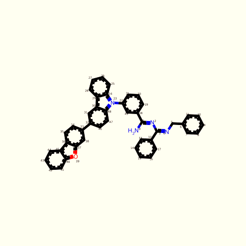 N/C(=N\C(=N/Cc1ccccc1)c1ccccc1)c1cccc(-n2c3ccccc3c3cc(-c4ccc5c(c4)oc4ccccc45)ccc32)c1